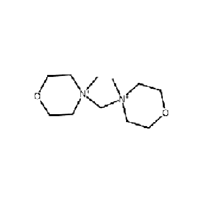 C[N+]1(C[N+]2(C)CCOCC2)CCOCC1